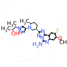 COc1cc2nc(N)n3nc([C@@H]4CC[C@H](C)N(c5cnn([C@@H](C)[C@@H](C)O)c5)C4)nc3c2cc1F